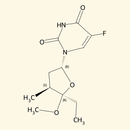 CC[C@@]1(OC)O[C@@H](n2cc(F)c(=O)[nH]c2=O)C[C@@H]1C